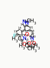 C[C@@H]1COCCN1C(=O)c1cc(F)ccc1-c1cc(CC2CN(C(=O)OC(C)(C)C)C2)cc2c1cnn2C